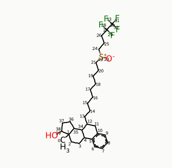 CC12CCC3c4ccccc4CC(CCCCCCCCC[S+]([O-])CCCC(F)(F)C(F)(F)F)C3C1CCC2O